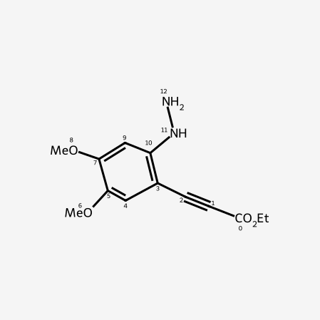 CCOC(=O)C#Cc1cc(OC)c(OC)cc1NN